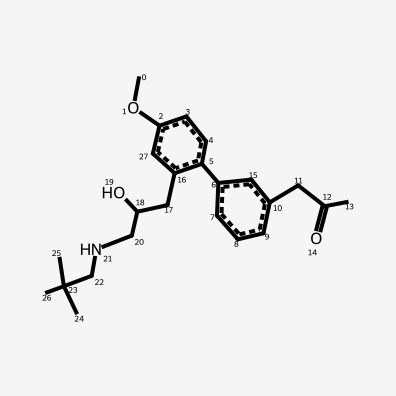 COc1ccc(-c2cccc(CC(C)=O)c2)c(CC(O)CNCC(C)(C)C)c1